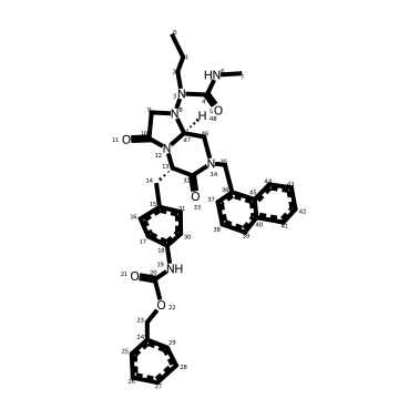 CCCN(C(=O)NC)N1CC(=O)N2[C@@H](Cc3ccc(NC(=O)OCc4ccccc4)cc3)C(=O)N(Cc3cccc4ccccc34)C[C@@H]21